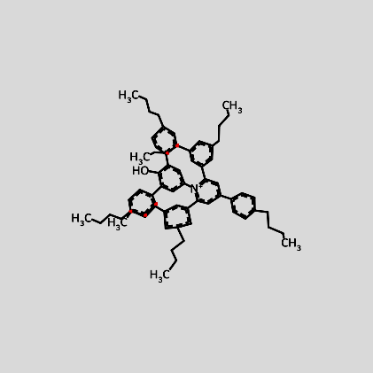 CCCCc1ccc(-c2cc(-c3cc(CCCC)cc(CCCC)c3)[n+](-c3cc(-c4ccc(CCCC)cc4)c(O)c(-c4ccc(CCCC)cc4)c3)c(-c3cc(CCCC)cc(CCCC)c3)c2)cc1